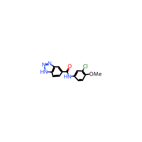 COc1ccc(NC(=O)c2ccc3[nH]nnc3c2)cc1Cl